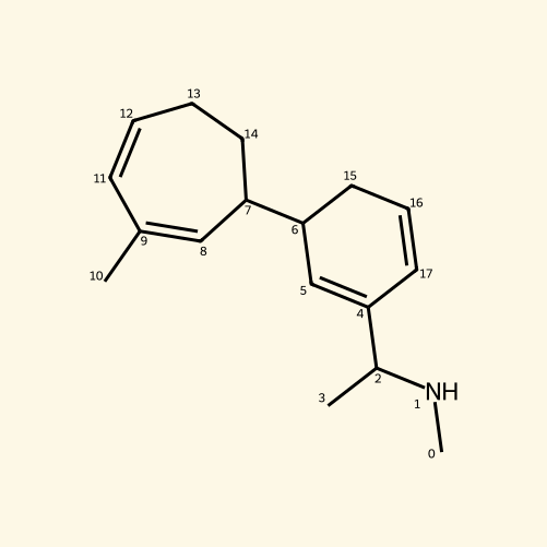 CNC(C)C1=CC(C2C=C(C)C=CCC2)CC=C1